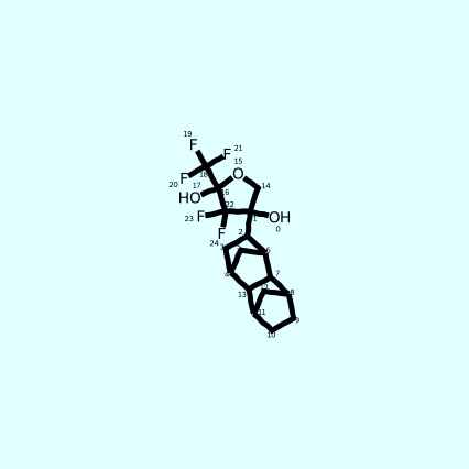 OC1(C2CC3CC2C2C4CCC(C4)C32)COC(O)(C(F)(F)F)C1(F)F